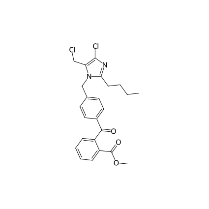 CCCCc1nc(Cl)c(CCl)n1Cc1ccc(C(=O)c2ccccc2C(=O)OC)cc1